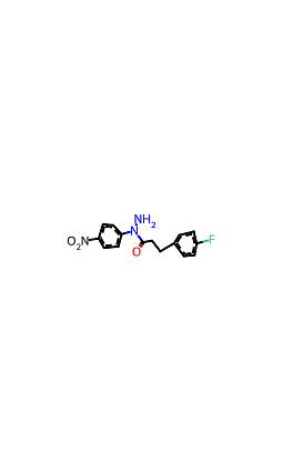 NN(C(=O)CCc1ccc(F)cc1)c1ccc([N+](=O)[O-])cc1